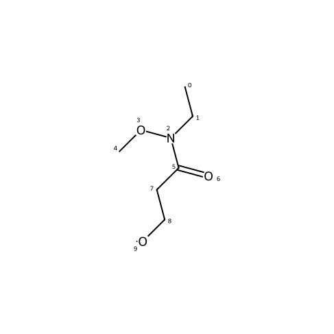 CCN(OC)C(=O)CC[O]